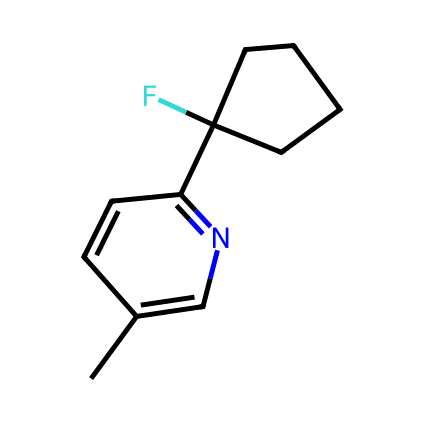 Cc1ccc(C2(F)CCCC2)nc1